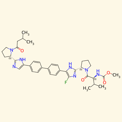 COC(=O)N[C@H](C(=O)N1CCC[C@H]1c1nc(F)c(-c2ccc(-c3ccc(-c4cnc([C@@H]5CCCN5C(=O)CC(C)C)[nH]4)cc3)cc2)[nH]1)C(C)C